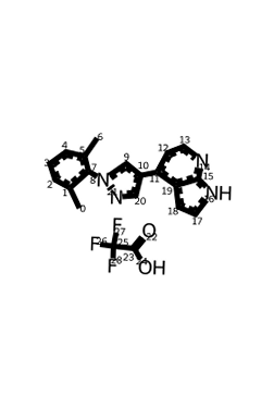 Cc1cccc(C)c1-n1cc(-c2ccnc3[nH]ccc23)cn1.O=C(O)C(F)(F)F